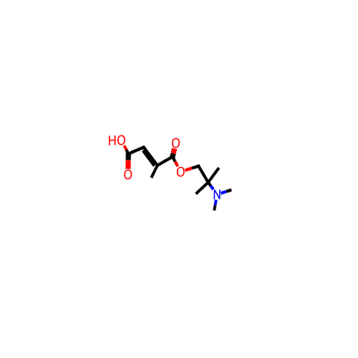 C/C(=C\C(=O)O)C(=O)OCC(C)(C)N(C)C